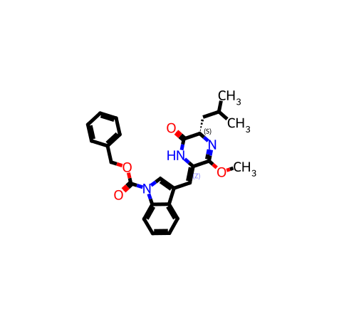 COC1=N[C@@H](CC(C)C)C(=O)N/C1=C\c1cn(C(=O)OCc2ccccc2)c2ccccc12